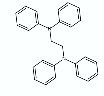 c1ccc(N(CCN(c2ccccc2)c2ccccc2)c2ccccc2)cc1